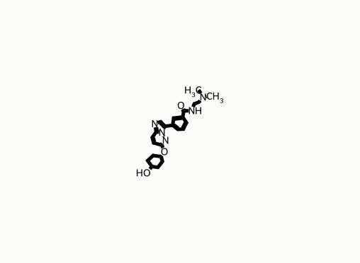 CN(C)CCNC(=O)c1cccc(-c2cnc3ccc(OC4CCC(O)CC4)nn23)c1